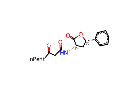 CCCCCC(=O)CC(=O)N[C@H]1C[C@@H](c2ccccc2)OC1=O